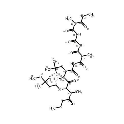 CCCC(=O)N(C)[C@H](SCCC(C)(C)OC)C(=O)N(C)[C@@H](CC(C)(C)O)C(=O)NC(=O)N(C)C(=O)NC(=O)NC(=O)N(C)C(=O)NC